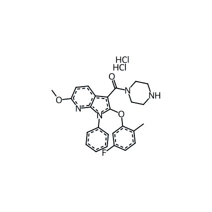 COc1ccc2c(C(=O)N3CCNCC3)c(Oc3cc(F)ccc3C)n(-c3ccccc3)c2n1.Cl.Cl